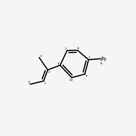 CC=C(C)c1ccc(C(C)C)cc1